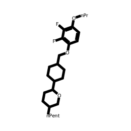 CCCCCC1CCC(C2CCC(COc3ccc(OCCC)c(F)c3F)CC2)OC1